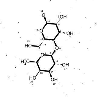 C[C@H]1O[C@@H](O[C@@H]2[C@@H](O)[C@@H](O)[C@H]([O])O[C@H]2CO)[C@H](O)[C@@H](O)[C@@H]1O